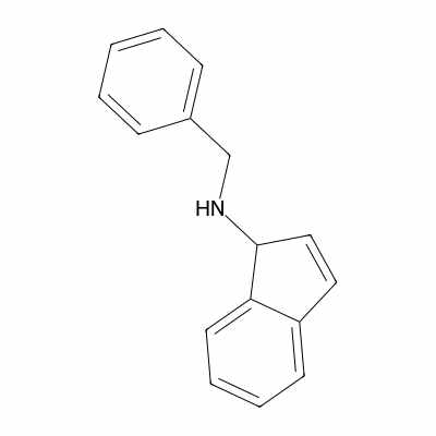 C1=CC(NCc2ccccc2)c2ccccc21